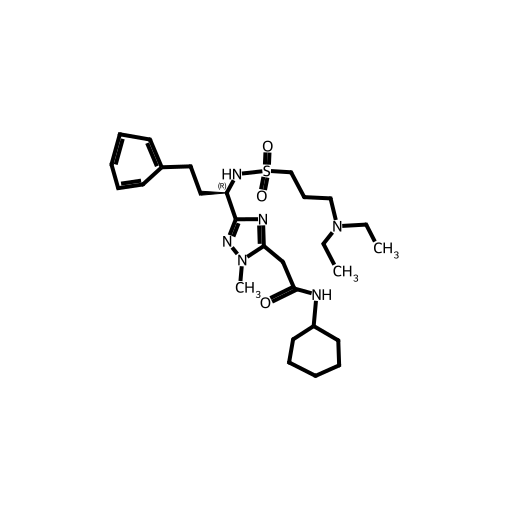 CCN(CC)CCCS(=O)(=O)N[C@H](CCc1ccccc1)c1nc(CC(=O)NC2CCCCC2)n(C)n1